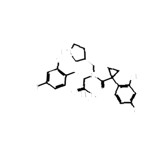 NC(=O)[C@H](Cc1ccc(Cl)cc1Cl)N(C[C@@H]1CCNC1)C(=O)C1(c2ccc(Cl)cc2Cl)CC1